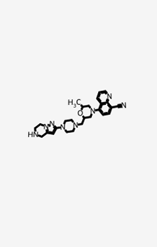 CC1CN(c2ccc(C#N)c3ncccc23)CC(CN2CCN(c3cc4n(n3)CCNC4)CC2)O1